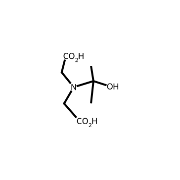 CC(C)(O)N(CC(=O)O)CC(=O)O